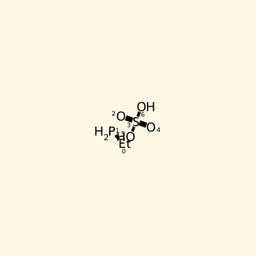 CCP.O=S(=O)(O)O